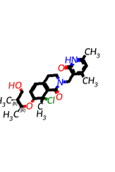 Cc1cc(C)c(CN2CCC3=C(C2=O)C(C)(Cl)C(O[C@H](C)[C@H](C)CO)C=C3)c(=O)[nH]1